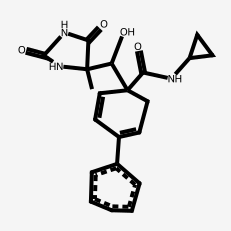 CC1(C(O)C2(C(=O)NC3CC3)C=CC(c3ccccc3)=CC2)NC(=O)NC1=O